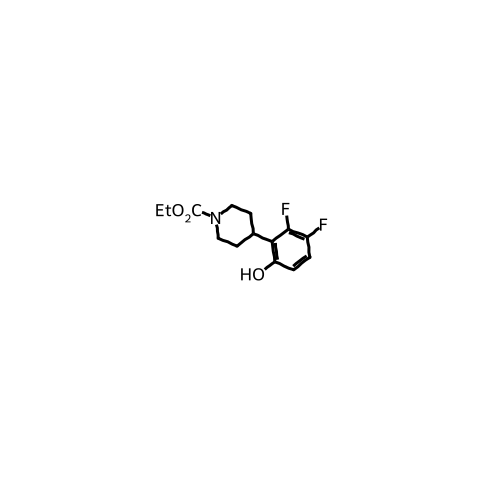 CCOC(=O)N1CCC(c2c(O)ccc(F)c2F)CC1